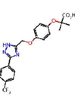 CC(C)(Oc1ccc(OCc2nc(-c3ccc(C(F)(F)F)cc3)n[nH]2)cc1)C(=O)O